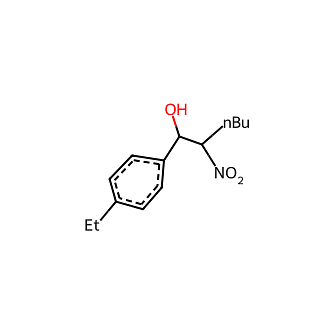 CCCCC(C(O)c1ccc(CC)cc1)[N+](=O)[O-]